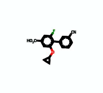 N#Cc1cccc(-c2c(F)cc(C(=O)O)cc2OC2CC2)c1